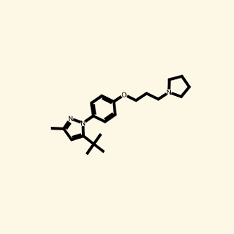 Cc1cc(C(C)(C)C)n(-c2ccc(OCCCN3CCCC3)cc2)n1